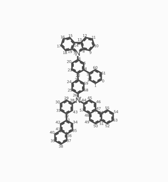 c1ccc(-c2cc(-n3c4ccccc4c4ccccc43)ccc2-c2ccc(N(c3cccc(-c4ccc5ccccc5c4)c3)c3ccc4c(ccc5ccccc54)c3)cc2)cc1